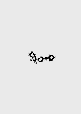 CN1C(=O)[C@H](c2ccc(C#Cc3ccc(F)cc3)cn2)C2CCCCC21